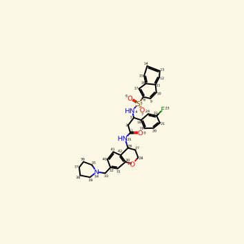 O=C(CC(NS(=O)(=O)c1ccc2ccccc2c1)c1cccc(F)c1)NC1CCOc2cc(CN3CCCCC3)ccc21